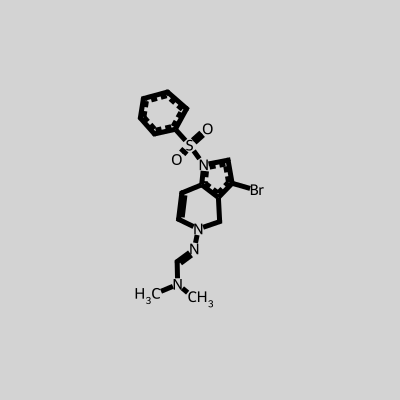 CN(C)C=NN1C=Cc2c(c(Br)cn2S(=O)(=O)c2ccccc2)C1